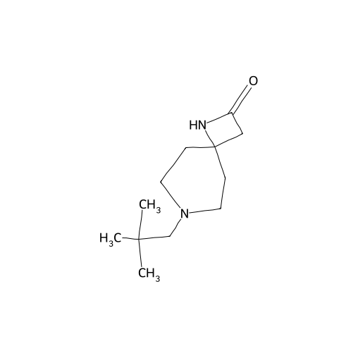 CC(C)(C)CN1CCC2(CC1)CC(=O)N2